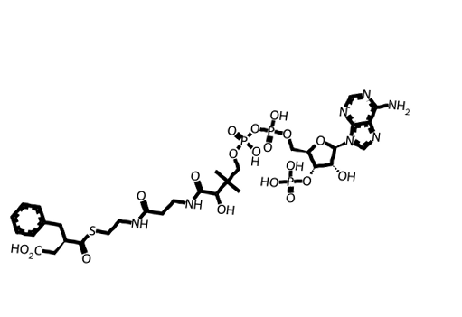 CC(C)(COP(=O)(O)OP(=O)(O)OC[C@H]1O[C@@H](n2cnc3c(N)ncnc32)[C@H](O)[C@@H]1OP(=O)(O)O)C(O)C(=O)NCCC(=O)NCCSC(=O)[C@@H](CC(=O)O)Cc1ccccc1